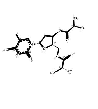 Cc1cn([C@@H]2CC(OC(=O)[C@@H](N)C(C)C)[C@H](COC(=O)[C@@H](N)C(C)C)O2)c(=O)[nH]c1=O